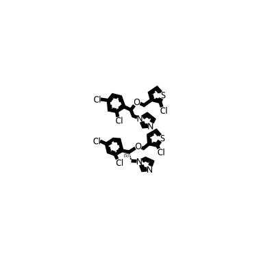 Clc1ccc(C(Cn2ccnc2)OCc2ccsc2Cl)c(Cl)c1.Clc1ccc([C@@H](Cn2ccnc2)OCc2ccsc2Cl)c(Cl)c1